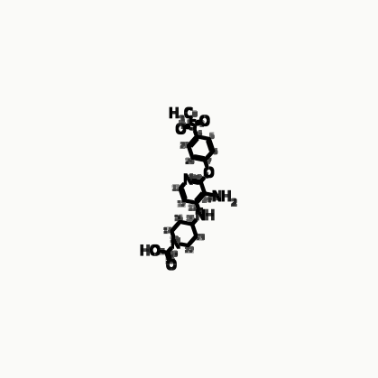 CS(=O)(=O)c1ccc(Oc2nccc(NC3CCN(C(=O)O)CC3)c2N)cc1